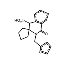 O=C(O)C1c2ccccc2C(=O)N(Cc2ccco2)C12CCCC2